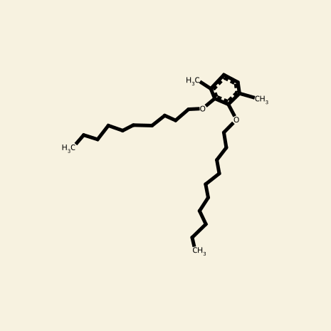 CCCCCCCCCCOc1c(C)ccc(C)c1OCCCCCCCCCC